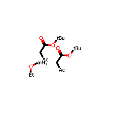 CC(=O)CC(=O)OC(C)(C)C.CC(=O)CC(=O)OC(C)(C)C.CC[O][InH2]